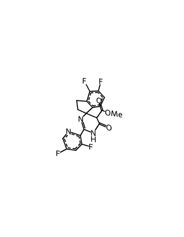 COC(=O)C1C(=O)NC(c2ncc(F)cc2F)=NC12CCc1c2ccc(F)c1F